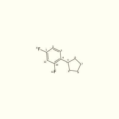 Fc1ccc([C]2CCCC2)c(F)c1